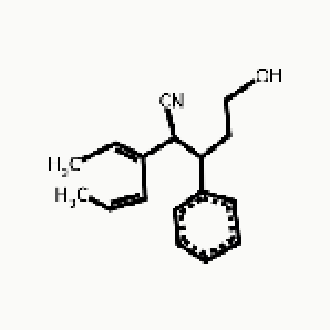 C/C=C\C(=C/C)C(C#N)C(CCO)c1ccccc1